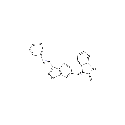 O=C1Nc2ncccc2/C1=C\c1ccc2c(/C=C/c3ccccn3)n[nH]c2c1